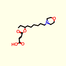 CCC(CCCCCCN1CCOCC1)OC(=O)C=CC(=O)O